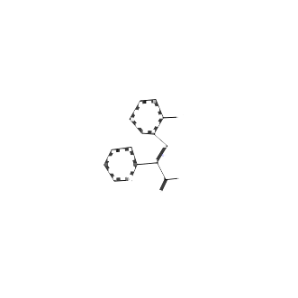 CC(=O)/C(=C/c1ccccc1Cl)c1ccccn1